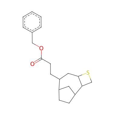 O=C(CCC1CC2SCC2C2CCC1C2)OCc1ccccc1